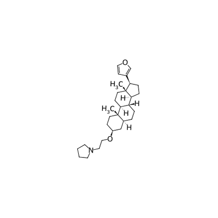 C[C@]12CC[C@H](OCCN3CCCC3)C[C@@H]1CC[C@@H]1[C@@H]2CC[C@]2(C)[C@@H](c3ccoc3)CC[C@@H]12